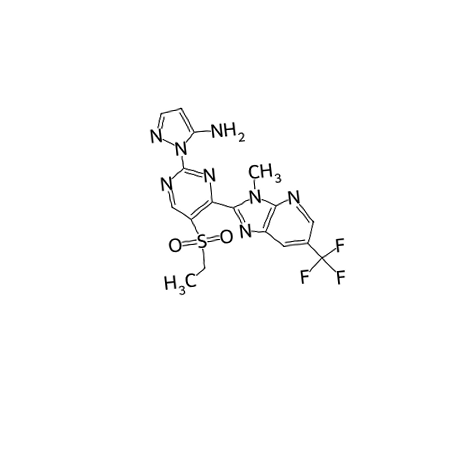 CCS(=O)(=O)c1cnc(-n2nccc2N)nc1-c1nc2cc(C(F)(F)F)cnc2n1C